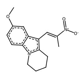 COc1ccc2c(c1)c(/C=C(\C)[N+](=O)[O-])c1n2CCCC1